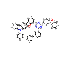 c1ccc(-c2cccc(-c3nc(-c4ccc5oc6ccccc6c5c4)nc(-c4cccc5c4oc4cc6c(cc45)c4ccccc4n6-c4ccccc4)n3)c2)cc1